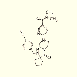 CN(C)C(=O)c1ccc(N2CCN(C(=O)C3(NCc4ccc(C#N)cc4)CCCC3)CC2)nc1